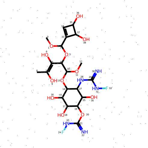 COC(OC(/C(O)=C(/C)O)C(OC)OC1C(O)C(O)C(OC(=N)NF)C(O)C1NC(=N)NF)C1=CC(O)C1O